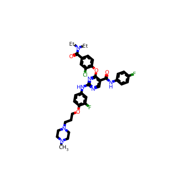 CCN(CC)C(=O)c1ccc(Oc2nc(Nc3ccc(OCCCN4CCN(C)CC4)c(F)c3)ncc2C(=O)Nc2ccc(F)cc2)c(Cl)c1